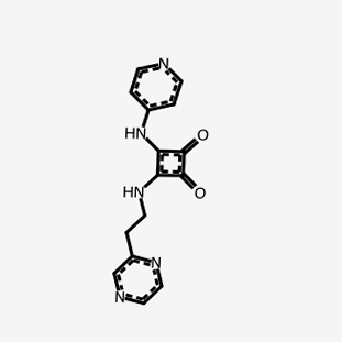 O=c1c(NCCc2cnccn2)c(Nc2ccncc2)c1=O